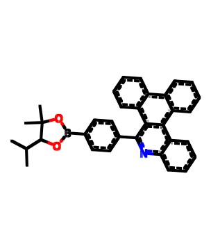 CC(C)C1OB(c2ccc(-c3nc4ccccc4c4c5ccccc5c5ccccc5c34)cc2)OC1(C)C